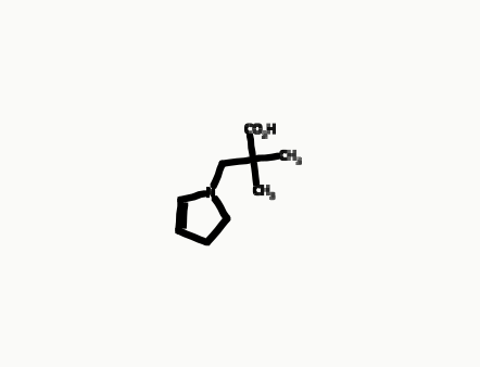 CC(C)(CN1C=CCC1)C(=O)O